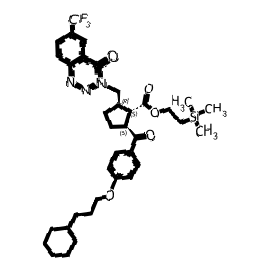 C[Si](C)(C)CCOC(=O)[C@H]1[C@H](Cn2nnc3ccc(C(F)(F)F)cc3c2=O)CC[C@@H]1C(=O)c1ccc(OCCCC2CCCCC2)cc1